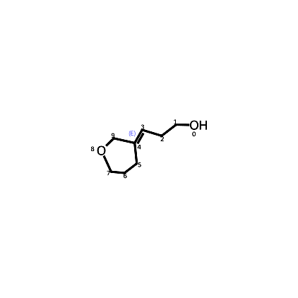 OCC/C=C1\CCCOC1